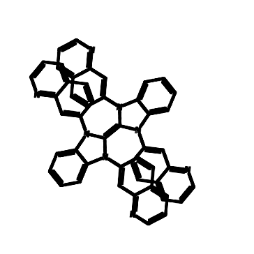 c1ccc2c(c1)N(c1ccc3cccnc3c1)C(=C1N(c3ccc4cccnc4c3)c3ccccc3N1c1ccc3cccnc3c1)N2c1ccc2cccnc2c1